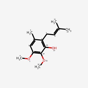 COc1cc(C)c(CC=C(C)C)c(O)c1OC